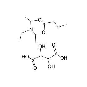 CCCC(=O)OC(C)N(CC)CC.O=C(O)C(O)C(O)C(=O)O